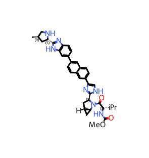 COC(=O)N[C@H](C(=O)N1C2C[C@@H]2C[C@H]1c1nc(-c2ccc3cc(-c4ccc5nc([C@@H]6C[C@@H](C)CN6)[nH]c5c4)ccc3c2)c[nH]1)C(C)C